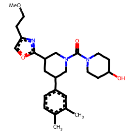 COCCc1coc(C2CC(c3ccc(C)c(C)c3)CN(C(=O)N3CCC(O)CC3)C2)n1